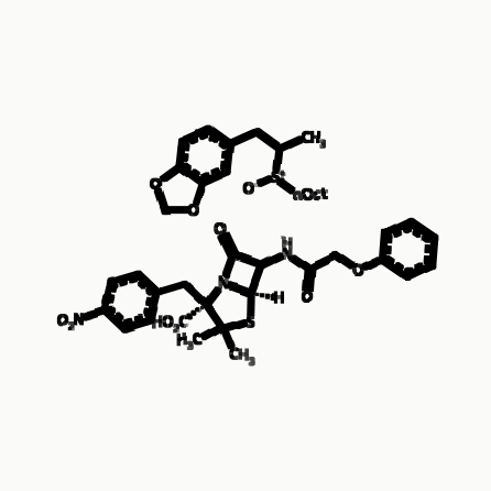 CC1(C)S[C@@H]2C(NC(=O)COc3ccccc3)C(=O)N2[C@@]1(Cc1ccc([N+](=O)[O-])cc1)C(=O)O.CCCCCCCC[S+]([O-])C(C)Cc1ccc2c(c1)OCO2